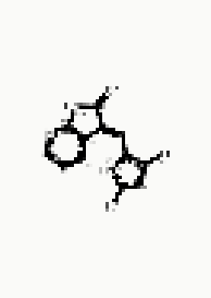 CCc1cc(CC)c(/C=C2/C(=O)Nc3ncccc32)[nH]1